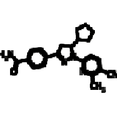 Cc1nc(N2N=C(c3ccc(C(N)=O)cc3)CC2C2CCCC2)ccc1C#N